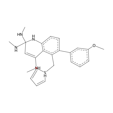 CNC1=CC(NC)(NC)Nc2ccc(-c3cccc(OC)c3)c(C[SH]3C=CC=C3)c21